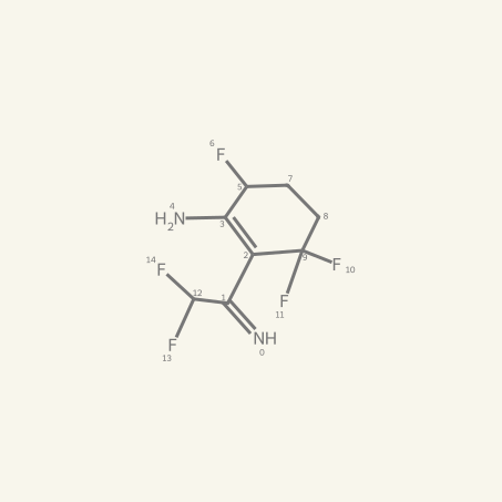 N=C(C1=C(N)C(F)CCC1(F)F)C(F)F